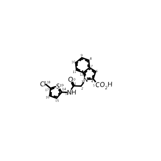 O=C(Cn1c(C(=O)O)cc2ccccc21)Nc1ccc(Cl)s1